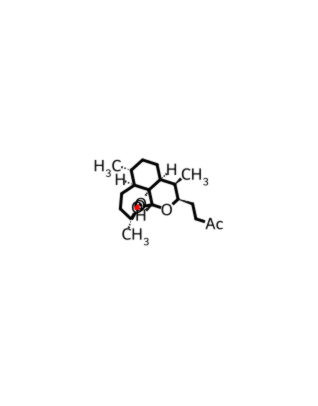 CC(=O)CC[C@H]1O[C@@H]2O[C@]3(C)CC[C@H]4[C@H](C)CC[C@@H]([C@H]1C)[C@@]24OO3